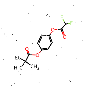 CCC(C)(C)C(=O)Oc1ccc(OC(=O)C(F)F)cc1